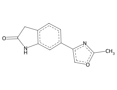 Cc1nc(-c2ccc3c(c2)NC(=O)C3)co1